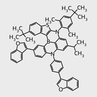 Cc1cc(C(C)(C)C)cc(C)c1N1c2cc(C(C)C)cc3c2B(c2cc(-c4coc5ccccc45)ccc2N3c2ccc(-c3coc4ccccc34)cc2)c2c1sc1ccc(C(C)(C)C)cc21